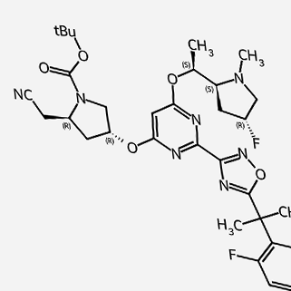 C[C@H](Oc1cc(O[C@@H]2C[C@@H](CC#N)N(C(=O)OC(C)(C)C)C2)nc(-c2noc(C(C)(C)c3c(F)cccc3F)n2)n1)[C@@H]1C[C@@H](F)CN1C